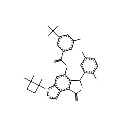 O=C(Nc1cc2c(cnn2C2(F)CCC2(F)F)c2c1C(c1cc(F)ccc1Cl)NC2=O)c1cc(F)cc(C(F)(F)F)c1